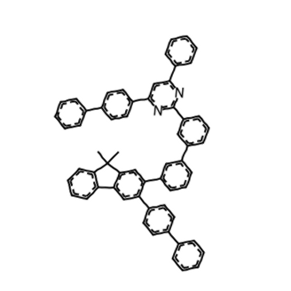 CC1(C)c2ccccc2-c2cc(-c3ccc(-c4ccccc4)cc3)c(-c3cccc(-c4cccc(-c5nc(-c6ccccc6)cc(-c6ccc(-c7ccccc7)cc6)n5)c4)c3)cc21